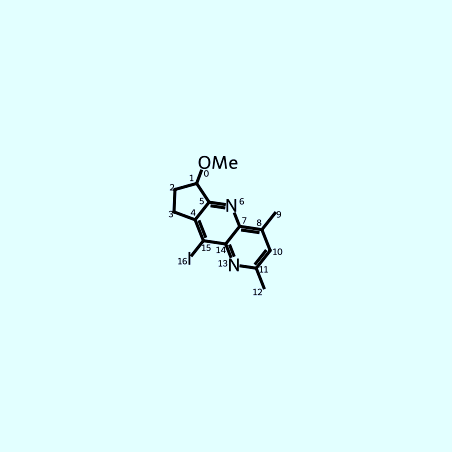 COC1CCc2c1nc1c(C)cc(C)nc1c2I